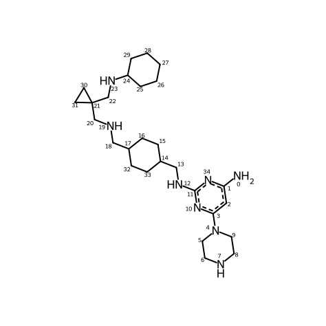 Nc1cc(N2CCNCC2)nc(NCC2CCC(CNCC3(CNC4CCCCC4)CC3)CC2)n1